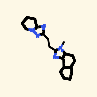 Cn1c(CCc2nc3ccccn3n2)nc2c3ccccc3ccc21